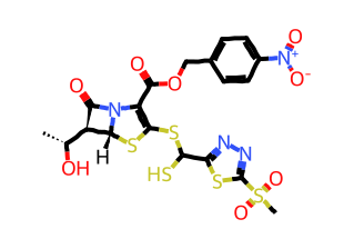 C[C@@H](O)[C@H]1C(=O)N2C(C(=O)OCc3ccc([N+](=O)[O-])cc3)=C(SC(S)c3nnc(S(C)(=O)=O)s3)S[C@H]12